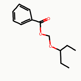 CCC(CC)OCOC(=O)c1ccccc1